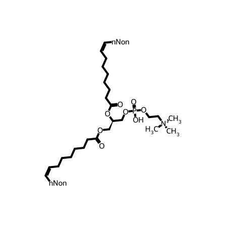 CCCCCCCCC/C=C\CCCCCCC(=O)OC[C@H](COP(=O)(O)OCC[N+](C)(C)C)OC(=O)CCCCCC/C=C\CCCCCCCCC